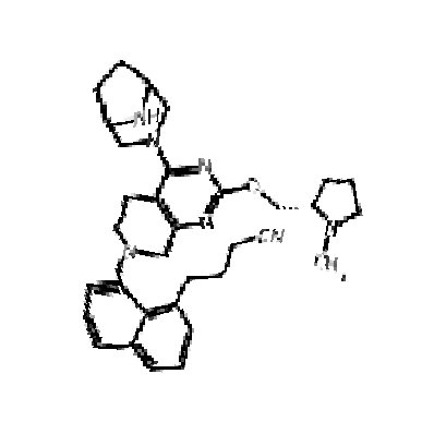 CN1CCC[C@H]1COc1nc2c(c(N3CC4CCC(C3)N4)n1)CCN(c1cccc3cccc(CCCC#N)c13)C2